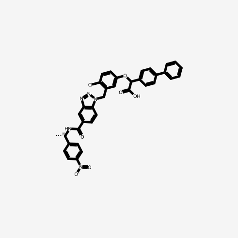 C[C@H](NC(=O)c1ccc2c(c1)nnn2Cc1cc(OC(C(=O)O)c2ccc(-c3ccccc3)cc2)ccc1Cl)c1ccc([N+](=O)[O-])cc1